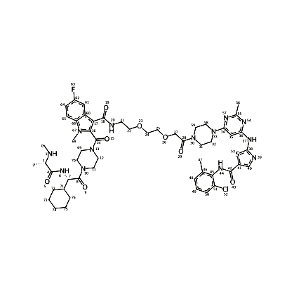 CN[C@@H](C)C(=O)N[C@H](C(=O)N1CCN(C(=O)c2c(C(=O)NCCOCCOCC(=O)N3CCN(c4cc(Nc5ncc(C(=O)Nc6c(C)cccc6Cl)s5)nc(C)n4)CC3)c3cc(F)ccc3n2C)CC1)C1CCCCC1